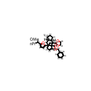 CCCC(OC)c1ccc(C23C[C@@H]4[C@H](C)CC[C@H]4C4(C5OCCO5)CC2C=C(C(C)C)C34C(=O)OCc2ccccc2)o1